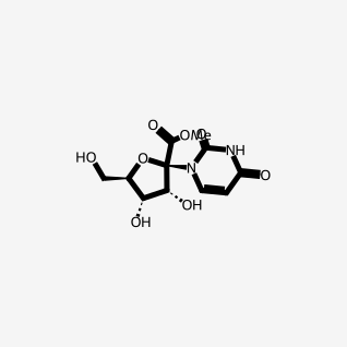 COC(=O)[C@@]1(n2ccc(=O)[nH]c2=O)O[C@H](CO)[C@@H](O)[C@H]1O